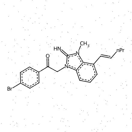 CCC/C=C/c1cccc2c1n(C)c(=N)n2CC(=O)c1ccc(Br)cc1